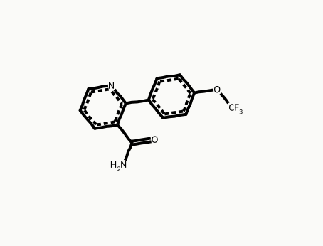 NC(=O)c1cccnc1-c1ccc(OC(F)(F)F)cc1